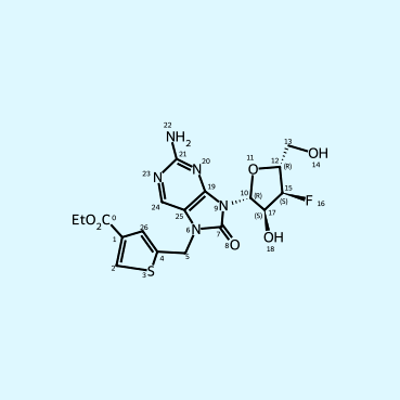 CCOC(=O)c1csc(Cn2c(=O)n([C@@H]3O[C@H](CO)[C@@H](F)[C@H]3O)c3nc(N)ncc32)c1